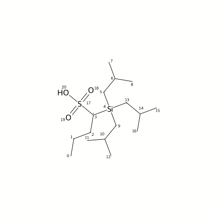 CCC[C]([Si](CC(C)C)(CC(C)C)CC(C)C)S(=O)(=O)O